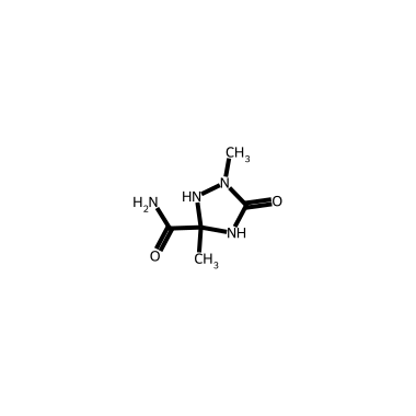 CN1NC(C)(C(N)=O)NC1=O